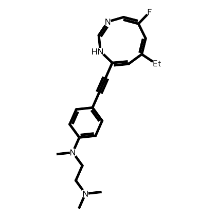 CCc1cc(F)cnc[nH]c(C#Cc2ccc(N(C)CCN(C)C)cc2)c1